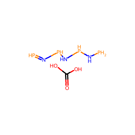 O=C(O)O.P=NPNPNP